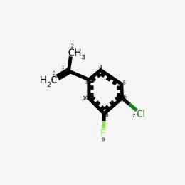 C=C(C)c1ccc(Cl)c(F)c1